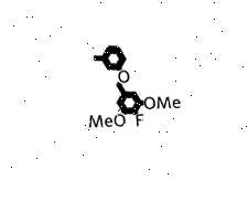 COc1cc(COc2cc#cc(C)c2)cc(OC)c1F